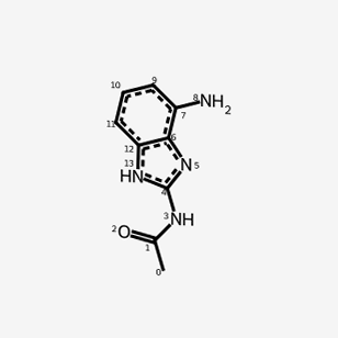 CC(=O)Nc1nc2c(N)cccc2[nH]1